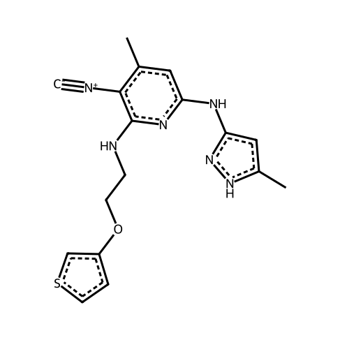 [C-]#[N+]c1c(C)cc(Nc2cc(C)[nH]n2)nc1NCCOc1ccsc1